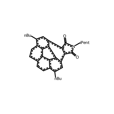 CCCCc1cc2c3c(=O)n(C(C)CCC)c(=O)c3c3cc(CCCC)c4ccc5ccc1c1c5c4c3c21